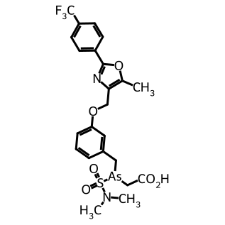 Cc1oc(-c2ccc(C(F)(F)F)cc2)nc1COc1cccc(C[As](CC(=O)O)S(=O)(=O)N(C)C)c1